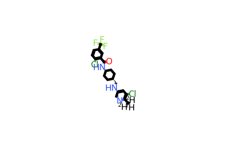 [2H]C([2H])([2H])c1ncc(NC[C@H]2CC[C@H](NC(=O)c3cc(C(F)(F)F)ccc3Cl)CC2)cc1Cl